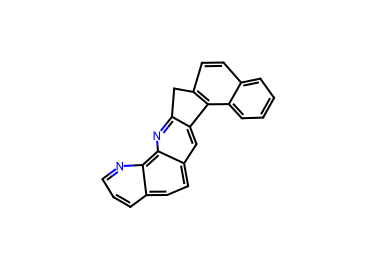 c1ccc2c3c(ccc2c1)Cc1nc2c(ccc4cccnc42)cc1-3